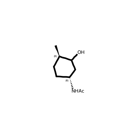 CC(=O)N[C@@H]1CC[C@@H](C)C(O)C1